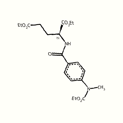 CCOC(=O)CC[C@H](NC(=O)c1ccc(N(C)C(=O)OCC)cc1)C(=O)OCC